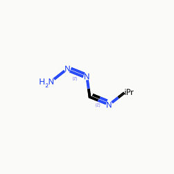 CC(C)/N=C\N=N/N